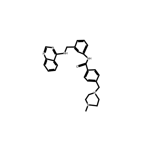 CN1CCN(Cc2ccc(C(=O)Nc3cccc(CNc4ncnc5ccccc45)c3)cc2)CC1